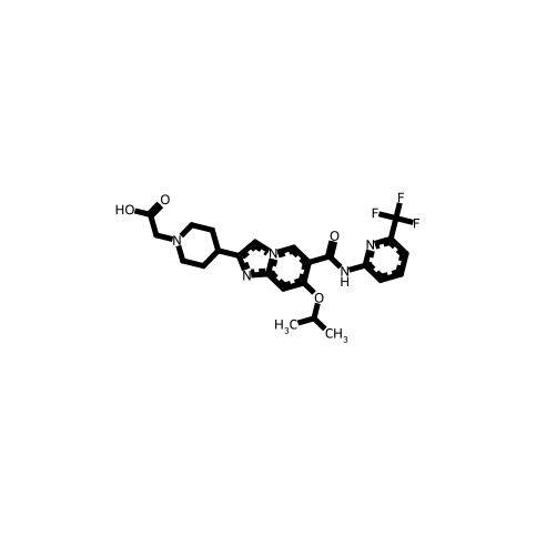 CC(C)Oc1cc2nc(C3CCN(CC(=O)O)CC3)cn2cc1C(=O)Nc1cccc(C(F)(F)F)n1